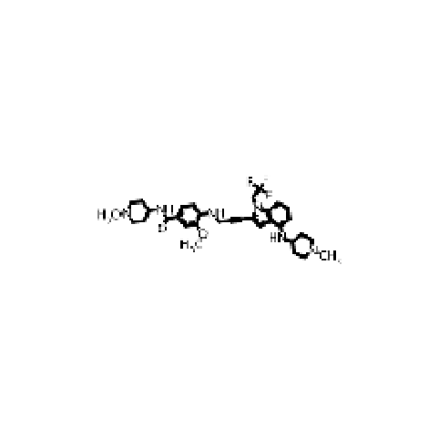 COc1cc(C(=O)NC2CCN(C)CC2)ccc1NCC#Cc1cc2c(NC3CCN(C)CC3)cccc2n1CC(F)(F)F